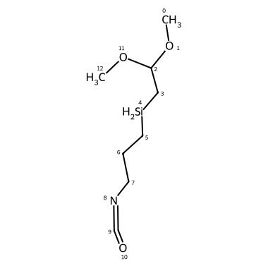 COC(C[SiH2]CCCN=C=O)OC